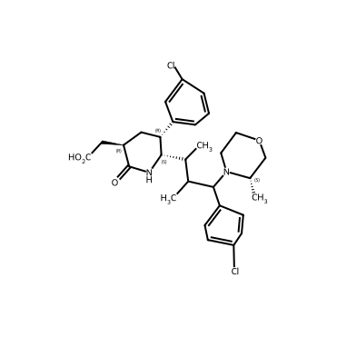 CC(C(C)[C@@H]1NC(=O)[C@@H](CC(=O)O)C[C@@H]1c1cccc(Cl)c1)C(c1ccc(Cl)cc1)N1CCOC[C@@H]1C